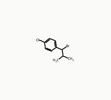 CC(C)C(Br)c1ccc(Cl)cc1